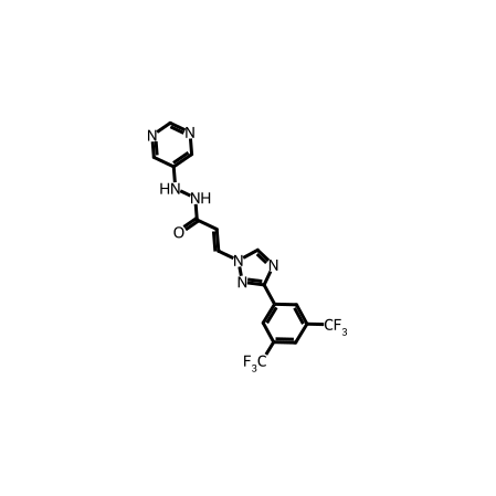 O=C(/C=C/n1cnc(-c2cc(C(F)(F)F)cc(C(F)(F)F)c2)n1)NNc1cncnc1